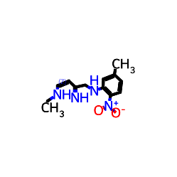 CCN/C=C\C(=N)CNc1cc(C)ccc1[N+](=O)[O-]